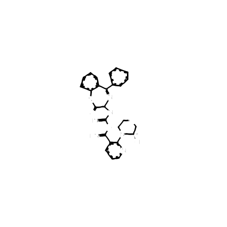 C[C@@H]1COCCN1c1ncccc1C(=N)OC(=N)NC1N=C(c2ccccc2)c2ccccc2NC1=O